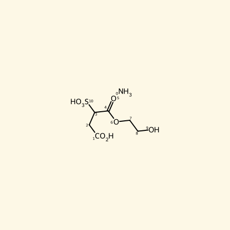 N.O=C(O)CC(C(=O)OCCO)S(=O)(=O)O